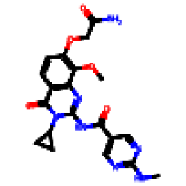 CNc1ncc(C(=O)Nc2nc3c(OC)c(OCC(N)=O)ccc3c(=O)n2C2CC2)cn1